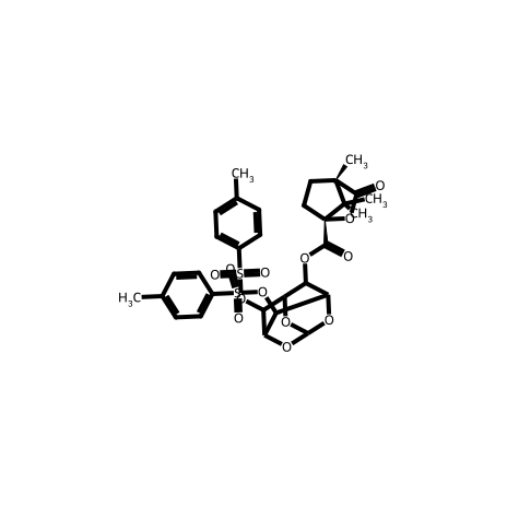 Cc1ccc(S(=O)(=O)OC2C3OC4OC(C3OC(=O)[C@]35CC[C@](C)(C(=O)O3)C5(C)C)C(OS(=O)(=O)c3ccc(C)cc3)C2O4)cc1